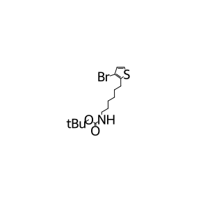 CC(C)(C)OC(=O)NCCCCCCc1sccc1Br